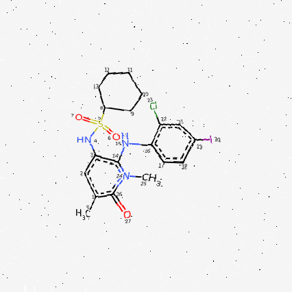 Cc1cc(NS(=O)(=O)C2CCCCC2)c(Nc2ccc(I)cc2Cl)n(C)c1=O